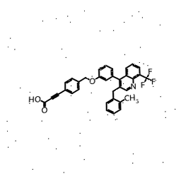 Cc1ccccc1Cc1cnc2c(C(F)(F)F)cccc2c1-c1cccc(OCc2ccc(C#CC(=O)O)cc2)c1